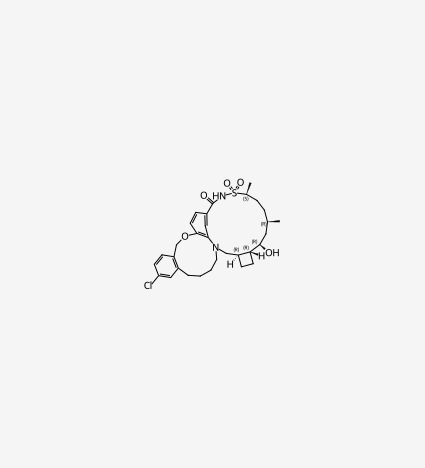 C[C@@H]1CC[C@H](C)S(=O)(=O)NC(=O)c2ccc3c(c2)N(CCCCc2cc(Cl)ccc2CO3)C[C@@H]2CC[C@H]2[C@H](O)C1